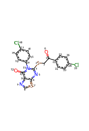 O=C(CSc1nc2scnc2c(=O)n1-c1ccc(Cl)cc1)c1ccc(Cl)cc1